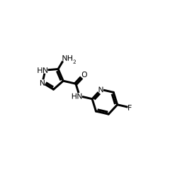 Nc1[nH]ncc1C(=O)Nc1ccc(F)cn1